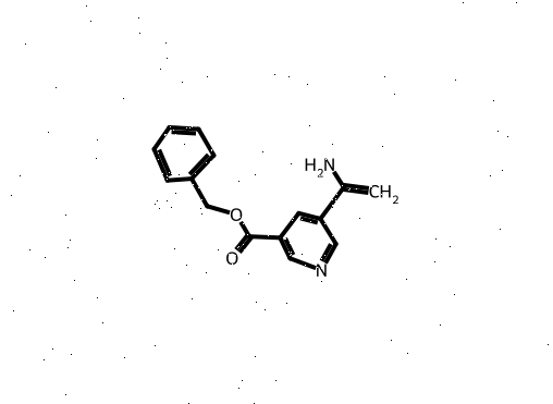 C=C(N)c1cncc(C(=O)OCc2ccccc2)c1